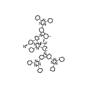 Cc1ccc2c(c1)c1cc(-c3nc(-c4ccccc4)nc(-c4ccccc4)n3)ccc1n2-c1ccc(-c2ccc(C#N)cc2)c(-c2nc(-c3ccccc3)nc(-c3cc(-n4c5ccc(-c6nc(-c7ccccc7)nc(-c7ccccc7)n6)cc5c5cc(-c6nc(-c7ccccc7)nc(-c7ccccc7)n6)ccc54)ccc3C(F)(F)F)n2)c1